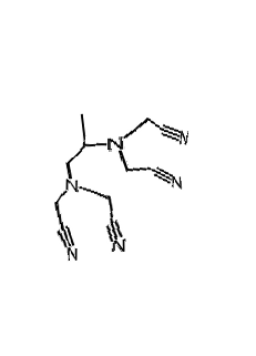 CC(CN(CC#N)CC#N)N(CC#N)CC#N